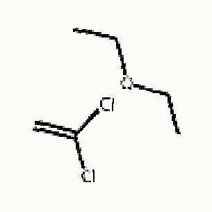 C=C(Cl)Cl.CCOCC